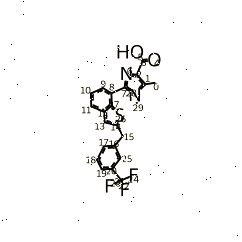 Cc1c(C(=O)O)nc(-c2cccc3cc(Cc4cccc(C(F)(F)F)c4)sc23)n1C